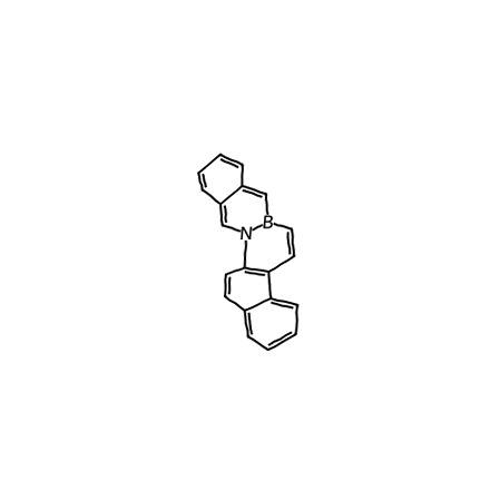 C1=Cc2c(ccc3ccccc23)N2C=c3ccccc3=CB12